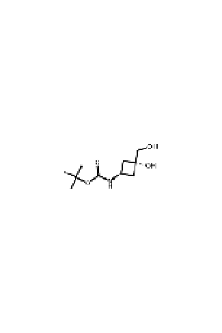 CC(C)(C)OC(=O)N[C@H]1C[C@@](O)(CO)C1